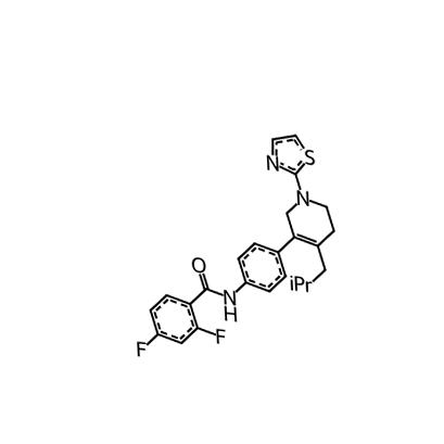 CC(C)CC1=C(c2ccc(NC(=O)c3ccc(F)cc3F)cc2)CN(c2nccs2)CC1